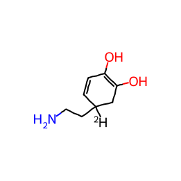 [2H]C1(CCN)C=CC(O)=C(O)C1